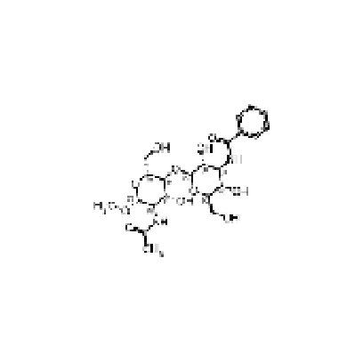 CO[C@@H]1O[C@H](CO)[C@@H](O[C@@H]2O[C@H](CO)[C@H](O)[C@H](NC(=O)c3ccccc3)[C@H]2O)[C@H](O)[C@H]1NC(C)=O